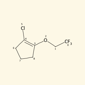 FC(F)(F)COC1=C(Cl)CCC1